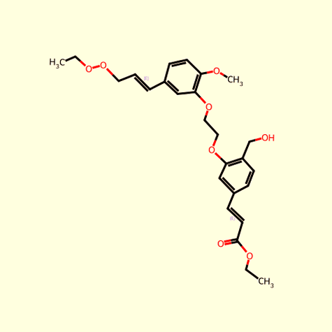 CCOOC/C=C/c1ccc(OC)c(OCCOc2cc(/C=C/C(=O)OCC)ccc2CO)c1